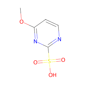 COc1ccnc(S(=O)(=O)O)n1